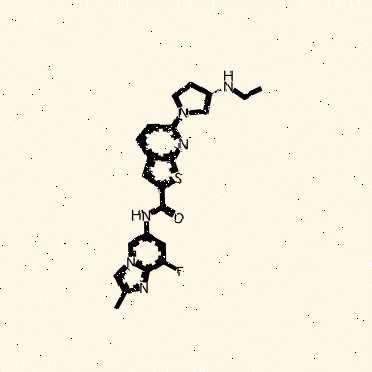 CCN[C@H]1CCN(c2ccc3cc(C(=O)Nc4cc(F)c5nc(C)cn5c4)sc3n2)C1